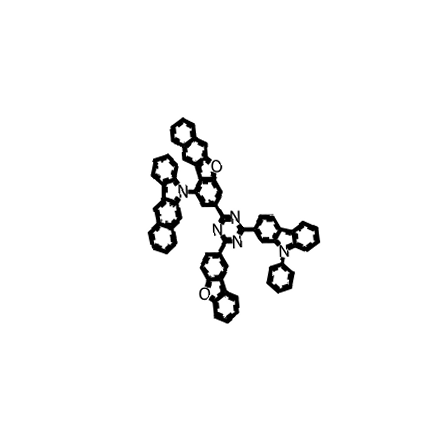 c1ccc(-n2c3ccccc3c3ccc(-c4nc(-c5cc(-n6c7ccccc7c7cc8ccccc8cc76)c6c(c5)oc5cc7ccccc7cc56)nc(-c5ccc6oc7ccccc7c6c5)n4)cc32)cc1